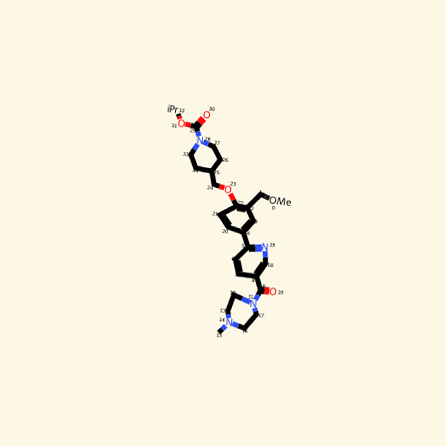 COCc1cc(-c2ccc(C(=O)N3CCN(C)CC3)cn2)ccc1OCC1CCN(C(=O)OC(C)C)CC1